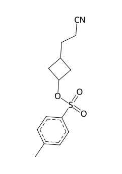 Cc1ccc(S(=O)(=O)OC2CC(CCC#N)C2)cc1